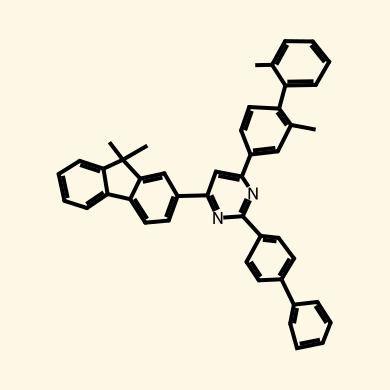 Cc1ccccc1-c1ccc(-c2cc(-c3ccc4c(c3)C(C)(C)c3ccccc3-4)nc(-c3ccc(-c4ccccc4)cc3)n2)cc1C